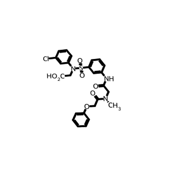 CN(CC(=O)Nc1cccc(S(=O)(=O)N(CC(=O)O)c2cccc(Cl)c2)c1)C(=O)COc1ccccc1